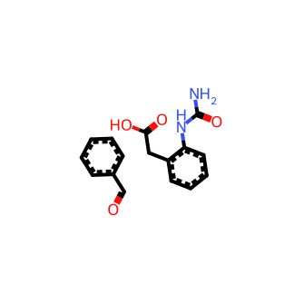 NC(=O)Nc1ccccc1CC(=O)O.O=Cc1ccccc1